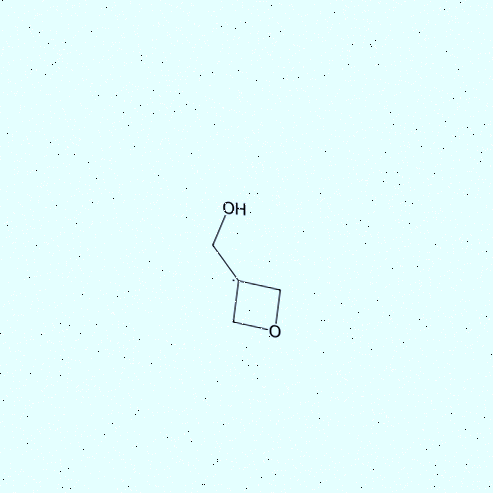 OC[C]1COC1